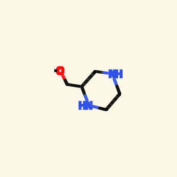 [O]CC1CNCCN1